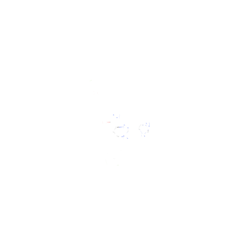 Cn1cncc1-c1nc(C(=O)NC2CCC(OC(F)F)CC2)cc(C2CCC(F)(F)CC2)n1